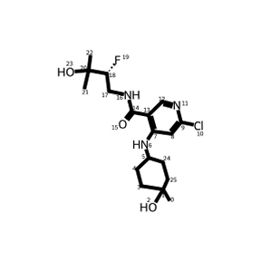 CC1(O)CCC(Nc2cc(Cl)ncc2C(=O)NC[C@@H](F)C(C)(C)O)CC1